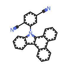 N#Cc1ccc(C#N)c(-n2c3ccccc3c3c4ccccc4c4ccccc4c32)c1